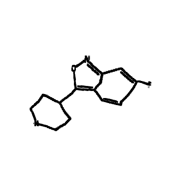 Fc1ccc2c(C3CC[N]CC3)onc2c1